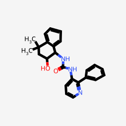 CC1(C)CC(O)C(NC(=O)Nc2cccnc2-c2ccccc2)c2ccccc21